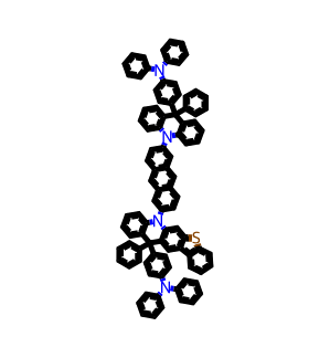 c1ccc(N(c2ccccc2)c2ccc(C3(c4ccccc4)c4ccccc4N(c4ccc5cc6cc(N7c8ccccc8C(c8ccccc8)(c8ccc(N(c9ccccc9)c9ccccc9)cc8)c8cc9c(cc87)sc7ccccc79)ccc6cc5c4)c4ccccc43)cc2)cc1